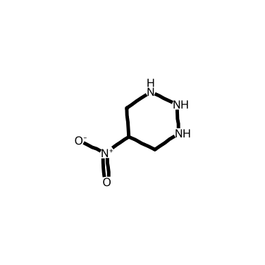 O=[N+]([O-])C1CNNNC1